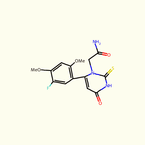 COc1cc(OC)c(-c2cc(=O)[nH]c(=S)n2CC(N)=O)cc1F